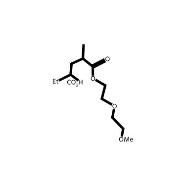 CCC(CC(C)C(=O)OCCOCCOC)C(=O)O